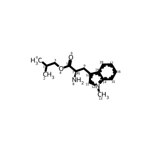 CC(C)COC(=O)[C@H](N)Cc1cn(C)c2ccccc12